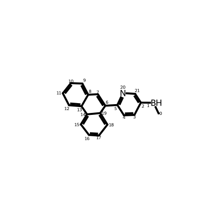 CBc1ccc(-c2cc3ccccc3c3ccccc23)nc1